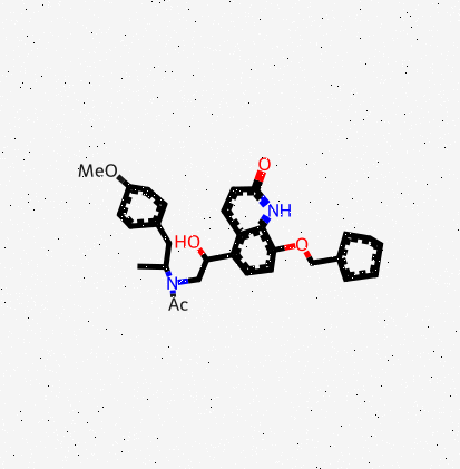 COc1ccc(CC(C)N(CC(O)c2ccc(OCc3ccccc3)c3[nH]c(=O)ccc23)C(C)=O)cc1